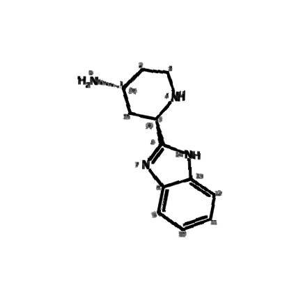 N[C@@H]1CCN[C@@H](c2nc3ccccc3[nH]2)C1